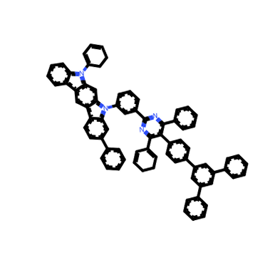 C1=CCCC(n2c3ccccc3c3cc4c5ccc(-c6ccccc6)cc5n(-c5cccc(-c6nc(C7=CCCC=C7)c(-c7ccc(-c8cc(-c9ccccc9)cc(-c9ccccc9)c8)cc7)c(-c7ccccc7)n6)c5)c4cc32)=C1